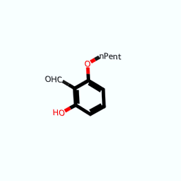 CCCCCOc1cccc(O)c1C=O